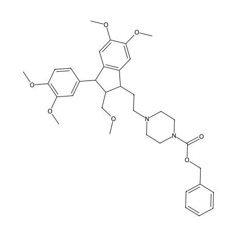 COCC1C(CCN2CCN(C(=O)OCc3ccccc3)CC2)c2cc(OC)c(OC)cc2C1c1ccc(OC)c(OC)c1